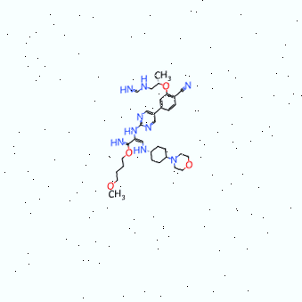 COCCCCOC(=N)/C(=C\N[C@H]1CC[C@H](N2CCOCC2)CC1)Nc1ncc(-c2ccc(C#N)c(O[C@@H](C)CNC=N)c2)cn1